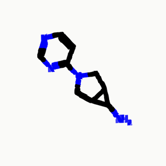 NC1C2CN(c3ccncn3)CC12